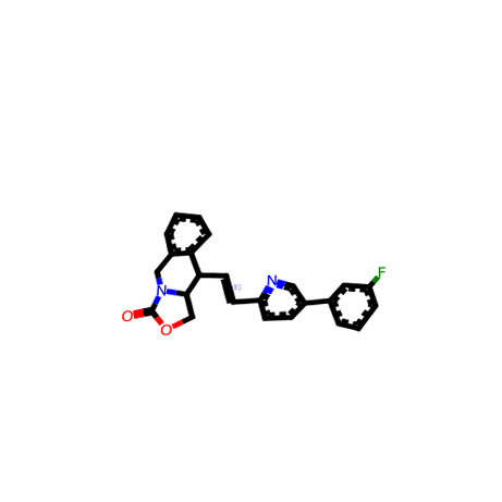 O=C1OCC2C(/C=C/c3ccc(-c4cccc(F)c4)cn3)c3ccccc3CN12